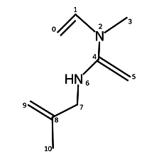 C=CN(C)C(=C)NCC(=C)C